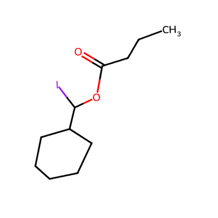 CCCC(=O)OC(I)C1CCCCC1